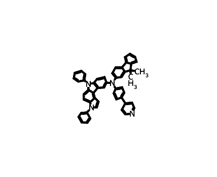 CC1(C)c2ccccc2-c2ccc(N(c3ccc(-c4ccncc4)cc3)c3ccc4c(c3)c3c5ccn(-c6ccccc6)c5ccc3n4-c3ccccc3)cc21